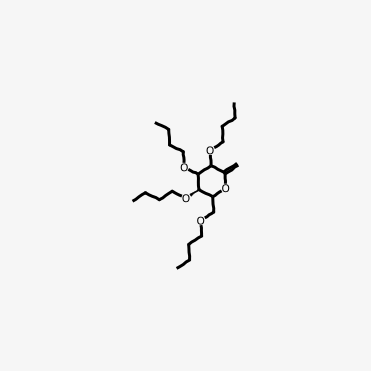 C=C1OC(COCCCC)[C@@H](OCCCC)C(OCCCC)C1OCCCC